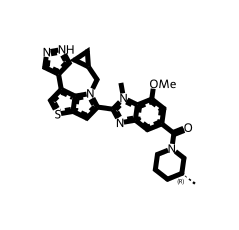 COc1cc(C(=O)N2CCC[C@@H](C)C2)cc2nc(-c3cc4scc(-c5cn[nH]c5)c4n3CC3CC3)n(C)c12